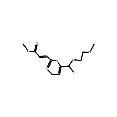 COCCOC(C)C1=CCN=C(/C=C/C(=O)OC)S1